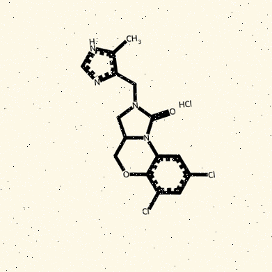 Cc1[nH]cnc1CN1CC2COc3c(Cl)cc(Cl)cc3N2C1=O.Cl